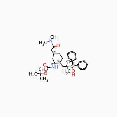 CN(C)C(=O)C[C@H]1CC[C@@H](CC(C)(C)[Si](O)(c2ccccc2)c2ccccc2)[C@H](NC(=O)OC(C)(C)C)C1